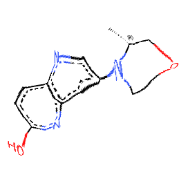 C[C@@H]1COCCN1c1cnc2ccc(O)nc2c1